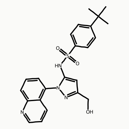 CC(C)(C)c1ccc(S(=O)(=O)Nc2cc(CO)nn2-c2cccc3ncccc23)cc1